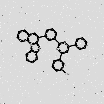 N#Cc1cccc(-c2cc(-c3ccccc3)nc(-c3cccc(-c4cc5ccccc5n5c4nc4ccccc45)c3)n2)c1